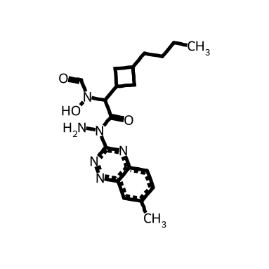 CCCCC1CC(C(C(=O)N(N)c2nnc3cc(C)ccc3n2)N(O)C=O)C1